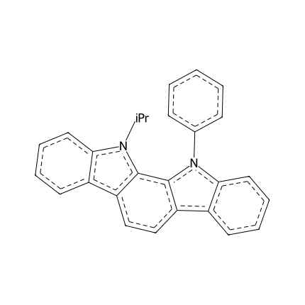 CC(C)n1c2ccccc2c2ccc3c4ccccc4n(-c4ccccc4)c3c21